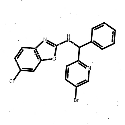 Clc1ccc2nc(NC(c3ccccc3)c3ccc(Br)cn3)oc2c1